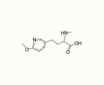 CNC(CCc1ccc(OC)nc1)C(=O)O